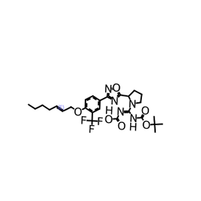 CCCC/C=C/COc1ccc(-c2noc(C3CCCN3C(=NC(=O)O)NC(=O)OC(C)(C)C)n2)cc1C(F)(F)F